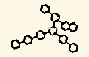 c1ccc(-c2ccc(-c3ccc(-c4nc(-c5ccc(-c6ccccc6)cc5)nc(-c5cc(-c6ccccc6)ccc5-c5ccc6ccccc6c5)n4)cc3)cc2)cc1